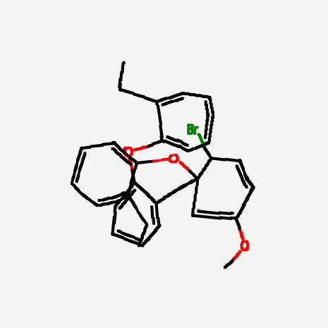 CCc1ccccc1Oc1ccccc1C1(Oc2ccccc2CC)C=C(OC)C=CC1Br